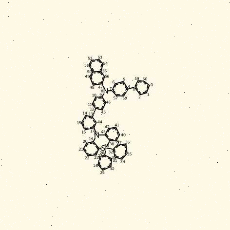 c1ccc(-c2ccc(N(c3ccc(-c4cccc(N5c6ccccc6[Si](c6ccccc6)(c6ccccc6)c6ccccc65)c4)cc3)c3ccc4ccccc4c3)cc2)cc1